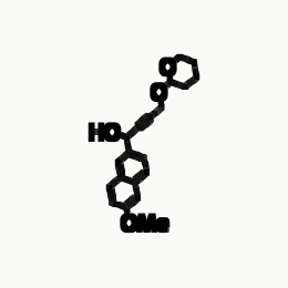 COc1ccc2cc(C(O)C#CCOC3CCCCO3)ccc2c1